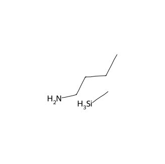 CCCCN.C[SiH3]